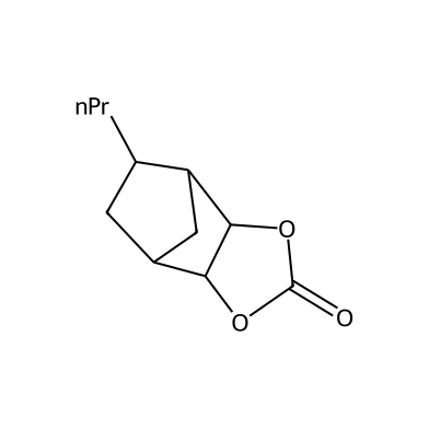 CCCC1CC2CC1C1OC(=O)OC21